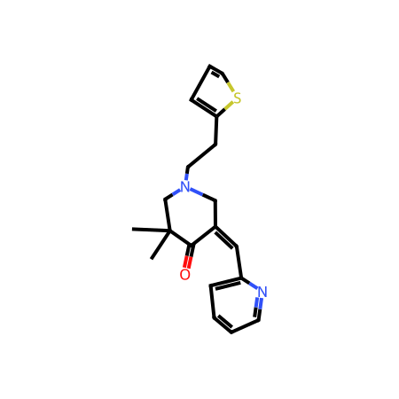 CC1(C)CN(CCc2cccs2)CC(=Cc2ccccn2)C1=O